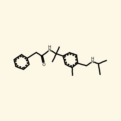 Cc1cc(C(C)(C)NC(=O)Cc2ccccc2)ccc1CNC(C)C